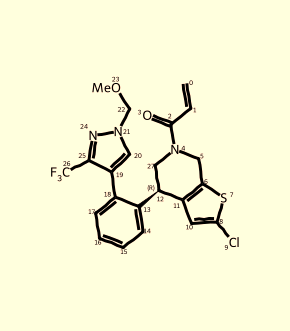 C=CC(=O)N1Cc2sc(Cl)cc2[C@@H](c2ccccc2-c2cn(COC)nc2C(F)(F)F)C1